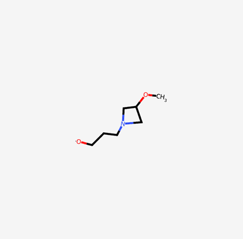 COC1CN(CCC[O])C1